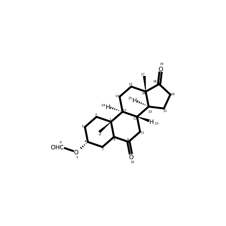 C[C@]12CC[C@@H](OC=O)CC1C(=O)C[C@@H]1[C@@H]2CC[C@]2(C)C(=O)CC[C@@H]12